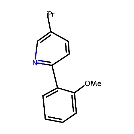 COc1ccccc1-c1ccc(C(C)C)cn1